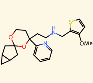 COc1ccsc1CNCCC1(c2ccccn2)CCOC2(CC3CC3C2)O1